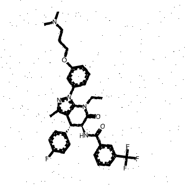 CCN1C(=O)[C@@H](NC(=O)c2cccc(C(F)(F)F)c2)[C@H](c2ccc(F)cc2)c2c(C)nn(-c3cccc(OCCCN(C)C)c3)c21